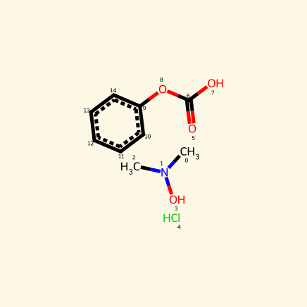 CN(C)O.Cl.O=C(O)Oc1ccccc1